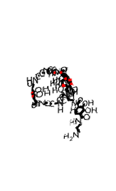 NCCCNC(=O)c1ccc(C(=O)NCC[C@H]2CNC3CCNC(=O)c4ccc(c(O)c4O)C(=O)NCCN(CCNCc4ccc(c(O)c4O)C(=O)N2)CCNC(=O)c2ccc(c(O)c2O)C(=O)NCC3)c(O)c1O